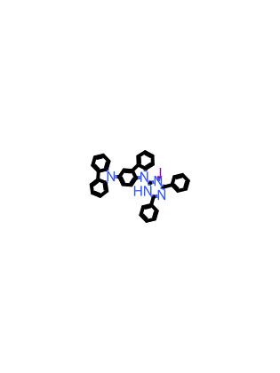 IN1C(c2ccccc2)=NC(c2ccccc2)NC1n1c2ccccc2c2cc(-n3c4ccccc4c4ccccc43)ccc21